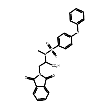 CN(C(CN1C(=O)c2ccccc2C1=O)C(=O)O)S(=O)(=O)c1ccc(Oc2ccccc2)cc1